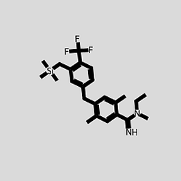 CCN(C)C(=N)c1cc(C)c(Cc2ccc(C(F)(F)F)c(C[Si](C)(C)C)c2)cc1C